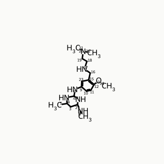 CNC1CC(C)NC(Nc2ccc(OC)c(CNCCN(C)C)c2)N1